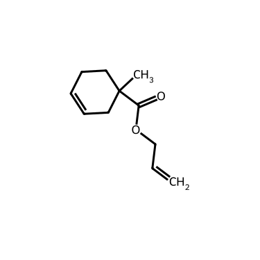 C=CCOC(=O)C1(C)CC=CCC1